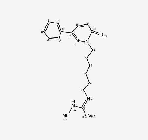 CSC(=NCCCCCCn1nc(-c2ccccc2)ccc1=O)NC#N